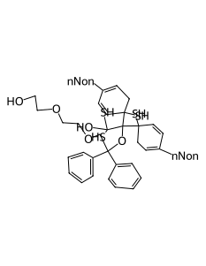 CCCCCCCCCC1=CCC(S)(C(OC(COCCOCCO)(c2ccccc2)c2ccccc2)(C(O)(S)S)C2(S)C=CC(CCCCCCCCC)=CC2)C=C1